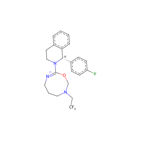 Fc1ccc([C@H]2c3ccccc3CCN2/C2=N/CCCN(CC(F)(F)F)CO2)cc1